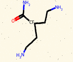 NC(=O)C(F)(F)F.NCCCCCN